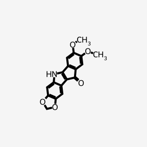 COc1cc2c(cc1OC)-c1[nH]c3cc4c(cc3c1C2=O)OCO4